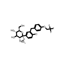 CO[C@@]1(c2ccc(Cl)c(Cc3ccc(OCC(F)(F)F)cc3)c2)O[C@H](CO)[C@@H](O)C(O)[C@H]1O